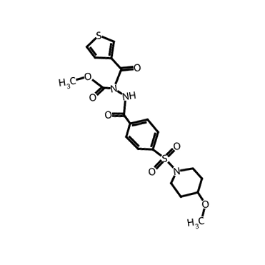 COC(=O)N(NC(=O)c1ccc(S(=O)(=O)N2CCC(OC)CC2)cc1)C(=O)c1ccsc1